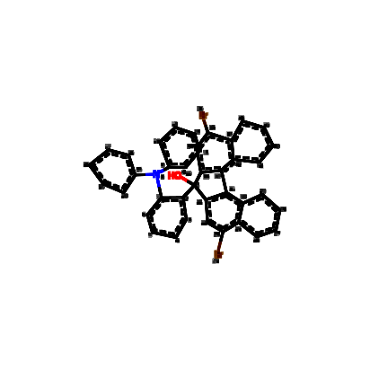 OC1(c2ccccc2N(c2ccccc2)c2ccccc2)c2cc(Br)c3ccccc3c2-c2c1cc(Br)c1ccccc21